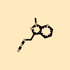 Cn1nc(CN=[N+]=[N-])c2cccnc21